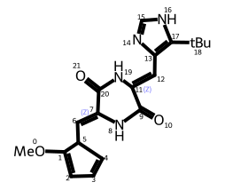 COC1=CC=CC1/C=c1\[nH]c(=O)/c(=C/c2nc[nH]c2C(C)(C)C)[nH]c1=O